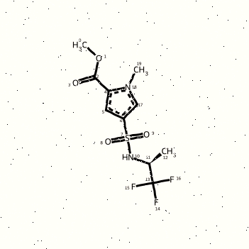 COC(=O)c1cc(S(=O)(=O)N[C@@H](C)C(F)(F)F)cn1C